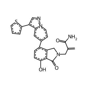 C=C(CN1Cc2c(-c3ccn4ncc(-c5cccs5)c4c3)ccc(O)c2C1=O)C(N)=O